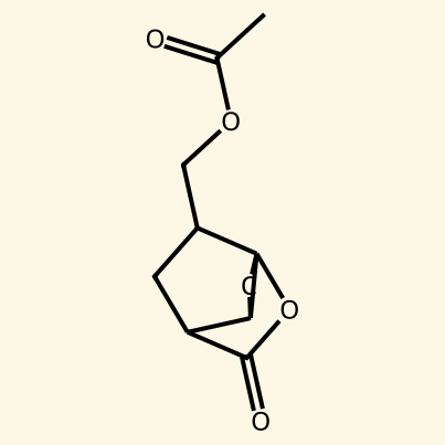 CC(=O)OCC1CC2C(=O)OC13CC23